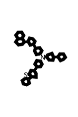 c1ccc(-c2ccc(N(c3ccc(-c4cccc(-c5cccc6ccccc56)c4)cc3)c3ccc(-c4ccc5c(c4)sc4ccccc45)cc3)cc2)cc1